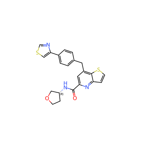 O=C(N[C@@H]1CCOC1)c1cc(Cc2ccc(-c3cscn3)cc2)c2sccc2n1